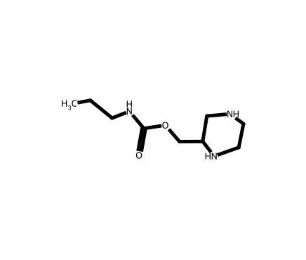 CCCNC(=O)OCC1CNCCN1